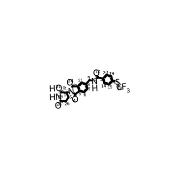 C[C@]1(N2C(=O)c3ccc(CNC(=O)c4ccc(SC(F)(F)F)cc4)cc3C2=O)CCC(=O)NC1O